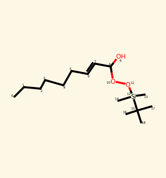 CCCCCCC=CC(O)OO[Si](C)(C)C(C)(C)C